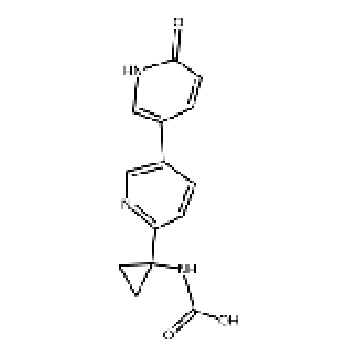 O=C(O)NC1(c2ccc(-c3ccc(=O)[nH]c3)cn2)CC1